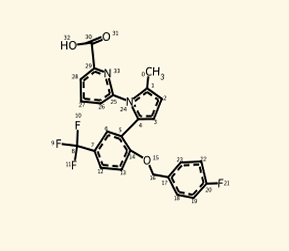 Cc1ccc(-c2cc(C(F)(F)F)ccc2OCc2ccc(F)cc2)n1-c1cccc(C(=O)O)n1